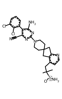 CC(C)(Cc1ccnc2c1CC1(CCN(c3nc(N)c(-c4cccc(Cl)c4Cl)c(C#N)n3)CC1)C2)[S@+](N)[O-]